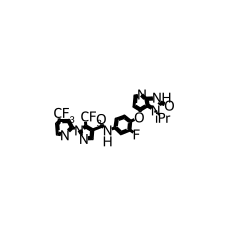 CC(C)n1c(=O)[nH]c2nccc(Oc3ccc(NC(=O)c4cnn(-c5cc(C(F)(F)F)ccn5)c4C(F)(F)F)cc3F)c21